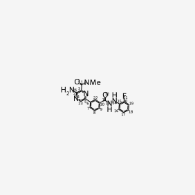 CNC(=O)c1nc(-c2cccc(C(=O)NNc3ccccc3F)c2)cnc1N